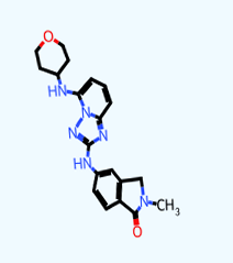 CN1Cc2cc(Nc3nc4cccc(NC5CCOCC5)n4n3)ccc2C1=O